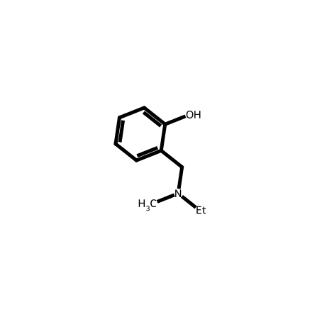 CCN(C)Cc1ccccc1O